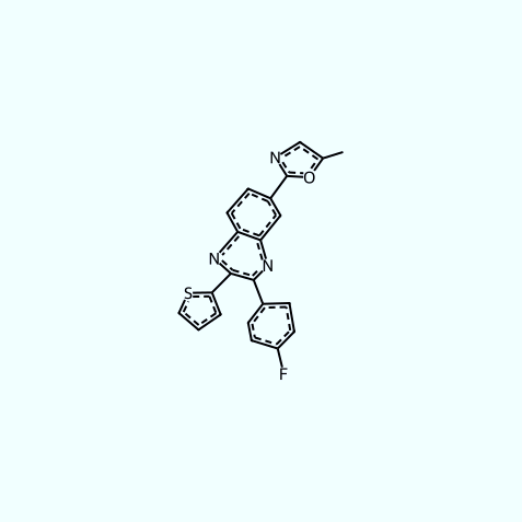 Cc1cnc(-c2ccc3nc(-c4cccs4)c(-c4ccc(F)cc4)nc3c2)o1